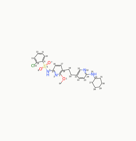 COc1nc(NS(=O)(=O)c2ccccc2Cl)ccc1CCc1ccc(NC2CCCCC2)nc1